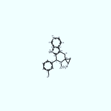 O=C(O)N1C(c2cccc(F)c2)c2[nH]c3cnccc3c2CC12CC2